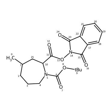 CC1CCCN(C(=O)OC(C)(C)C)C(C(=O)ON2C(=O)c3ccccc3C2=O)C1